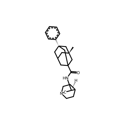 C[C@]12CC3CC(C(=O)N[C@@H]4CN5CCC4CC5)(C1)C[C@@](c1ccccc1)(C3)C2